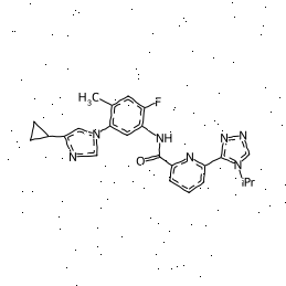 Cc1cc(F)c(NC(=O)c2cccc(-c3nncn3C(C)C)n2)cc1-n1cnc(C2CC2)c1